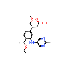 CCO[C@H](C)c1ccc([C@@H](COC)CC(=O)O)cc1Nc1cnc(C)nc1